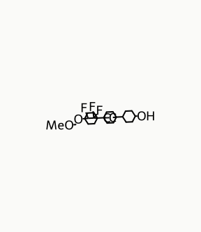 COCOC12CCC(C34CCC(C5CCC(O)CC5)(CC3)CC4)(CC1)C(F)(F)C2F